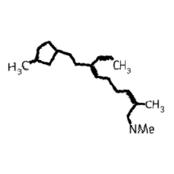 C/C=C\C(=C/CC/C=C(/C)CNC)CCC1CCC(C)C1